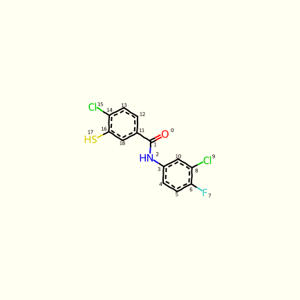 O=C(Nc1ccc(F)c(Cl)c1)c1ccc(Cl)c(S)c1